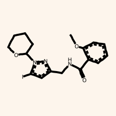 COc1ccccc1C(=O)NCc1cc(I)n(C2CCCCO2)n1